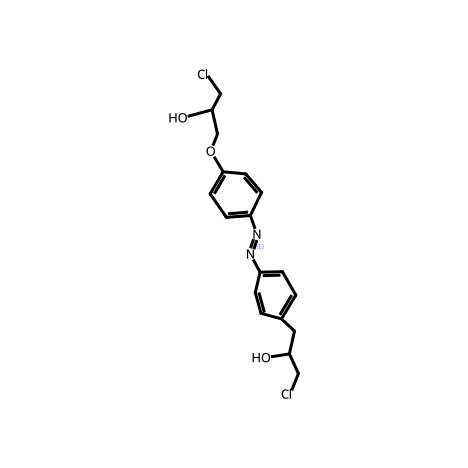 OC(CCl)COc1ccc(/N=N/c2ccc(CC(O)CCl)cc2)cc1